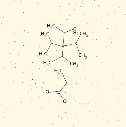 CC(C)[P+](C(C)C)(C(C)C)C(C)C.CCC(=O)[O-]